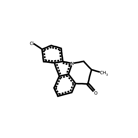 CC1Cn2c3ccc(Cl)cc3c3cccc(c32)C1=O